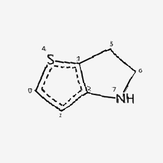 c1cc2c(s1)CCN2